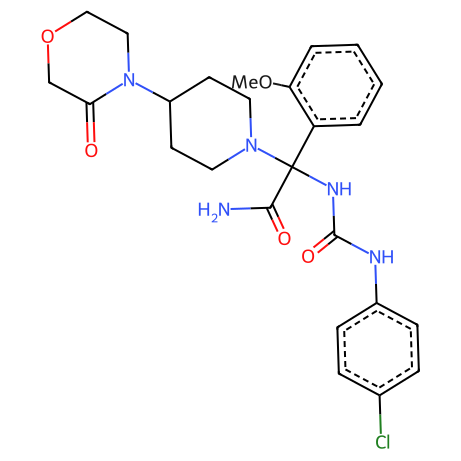 COc1ccccc1C(NC(=O)Nc1ccc(Cl)cc1)(C(N)=O)N1CCC(N2CCOCC2=O)CC1